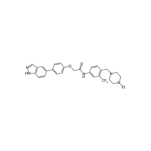 CCN1CCN(Cc2ccc(NC(=O)COc3ccc(-c4ccc5[nH]ncc5c4)cc3)cc2C(F)(F)F)CC1